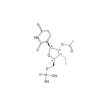 CC[C@H]1[C@@H](OC(C)=O)[C@H](n2ccc(=O)[nH]c2=O)O[C@@H]1COP(=O)(O)O